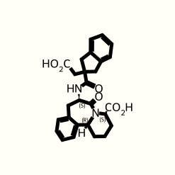 O=C(O)CC1(C(=O)N[C@H]2Cc3ccccc3[C@H]3CCC[C@@H](C(=O)O)N3C2=O)Cc2ccccc2C1